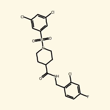 O=C(NCc1ccc(F)cc1Cl)C1CCN(S(=O)(=O)c2cc(Cl)cc(Cl)c2)CC1